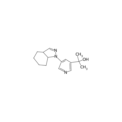 CC(C)(O)c1cncc(N2N=CC3CCCCC32)c1